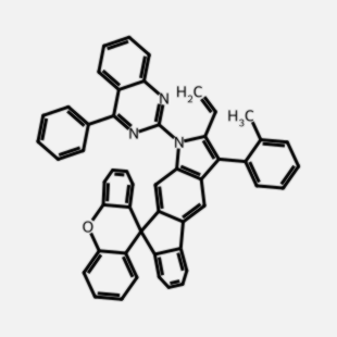 C=Cc1c(-c2ccccc2C)c2cc3c(cc2n1-c1nc(-c2ccccc2)c2ccccc2n1)C1(c2ccccc2Oc2ccccc21)c1ccccc1-3